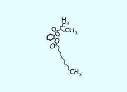 CCCCCCCCCC(=O)Oc1ccccc1OC(=O)C(CC)CC